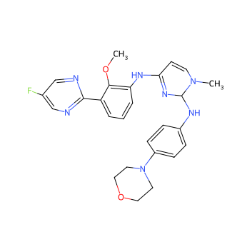 COc1c(NC2=NC(Nc3ccc(N4CCOCC4)cc3)N(C)C=C2)cccc1-c1ncc(F)cn1